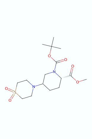 COC(=O)[C@@H]1CCC(N2CCS(=O)(=O)CC2)CN1C(=O)OC(C)(C)C